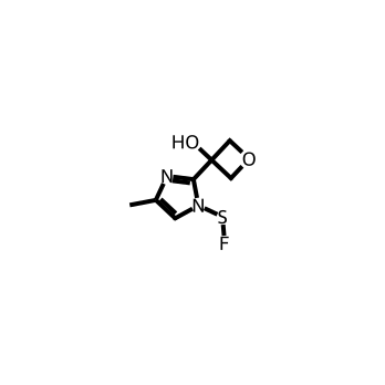 Cc1cn(SF)c(C2(O)COC2)n1